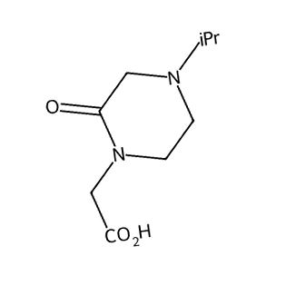 CC(C)N1CCN(CC(=O)O)C(=O)C1